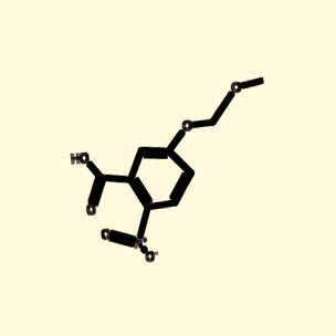 COCOc1ccc([N+](=O)[O-])c(C(=O)O)c1